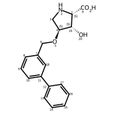 O=C(O)[C@H]1NC[C@H](OCc2cccc(-c3ccccc3)c2)[C@H]1O